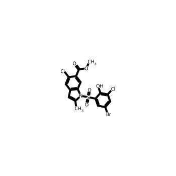 COC(=O)c1cc2c(cc1Cl)cc(C)n2S(=O)(=O)c1cc(Br)cc(Cl)c1O